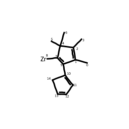 CC1=C(C)C(C)(C)[C]([Zr])=C1C1=CC=CC1